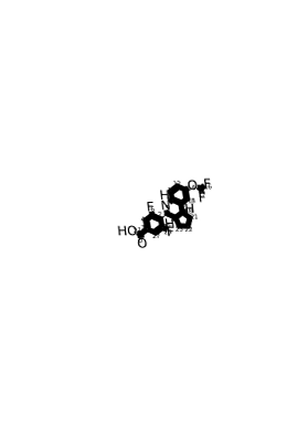 O=C(O)c1cc(F)c([C@@H]2Nc3ccc(OC(F)F)cc3[C@@H]3CCC[C@@H]32)c(F)c1